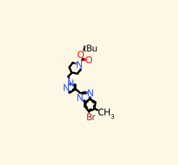 Cc1cc2ncc(-c3cnn(CC4CCN(C(=O)OC(C)(C)C)CC4)c3)nc2cc1Br